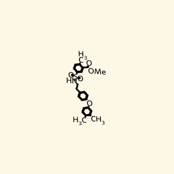 COC(=O)c1cc(S(=O)(=O)NCCc2ccc(Oc3ccc(C)c(C)c3)cc2)ccc1C